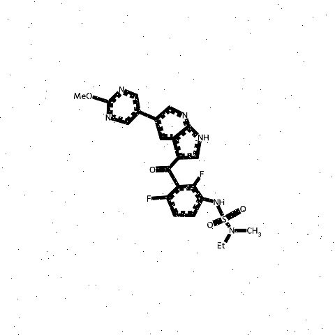 CCN(C)S(=O)(=O)Nc1ccc(F)c(C(=O)c2c[nH]c3ncc(-c4cnc(OC)nc4)cc23)c1F